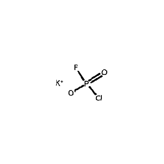 O=P([O-])(F)Cl.[K+]